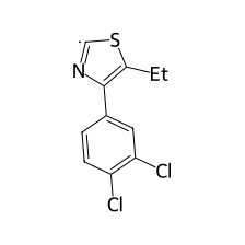 CCc1s[c]nc1-c1ccc(Cl)c(Cl)c1